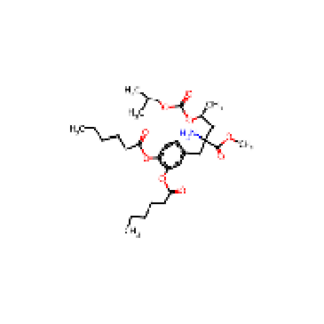 CCCCCC(=O)Oc1ccc(CC(N)(C[C@H](C)OC(=O)OCC(C)C)C(=O)OC)cc1OC(=O)CCCCC